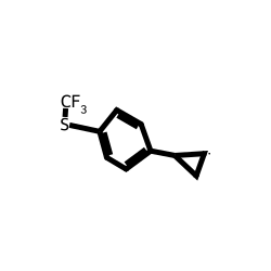 FC(F)(F)Sc1ccc(C2[CH]C2)cc1